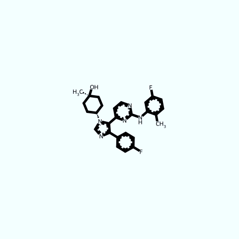 Cc1ccc(F)cc1Nc1nccc(-c2c(-c3ccc(F)cc3)ncn2[C@H]2CC[C@](C)(O)CC2)n1